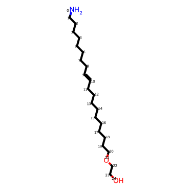 NCCCCCCCCC=CCCCCCCCCCCOCCO